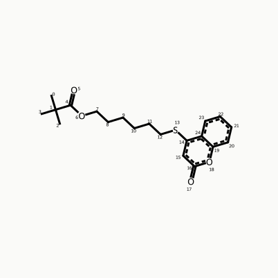 CC(C)(C)C(=O)OCCCCCCSc1cc(=O)oc2ccccc12